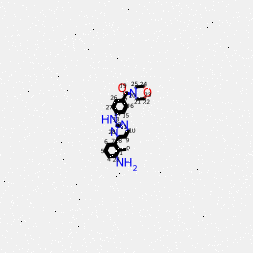 Cc1c(N)cccc1-c1ccnc(Nc2ccc(C(=O)N3CCOCC3)cc2)n1